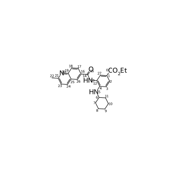 CCOC(=O)c1ccc(NC2CCCCC2)c(NC(=O)c2ccc3nc(C)ccc3c2)c1